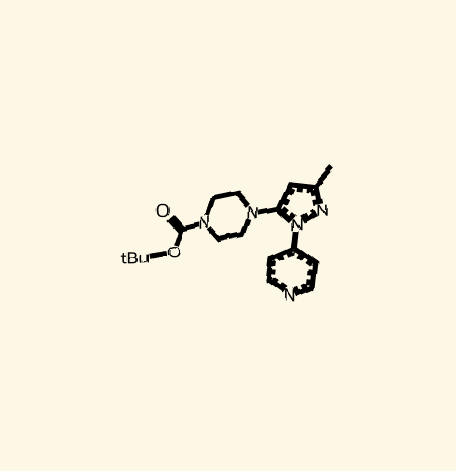 Cc1cc(N2CCN(C(=O)OC(C)(C)C)CC2)n(-c2ccncc2)n1